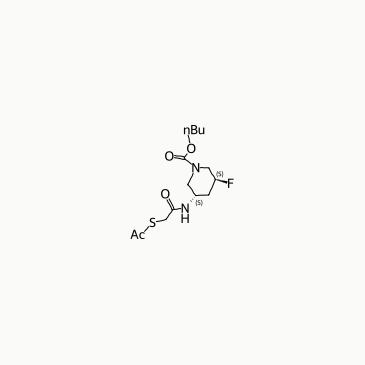 CCCCOC(=O)N1C[C@@H](F)C[C@H](NC(=O)CSC(C)=O)C1